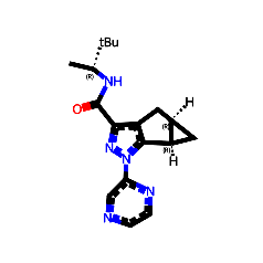 C[C@@H](NC(=O)c1nn(-c2cnccn2)c2c1C[C@H]1C[C@@H]21)C(C)(C)C